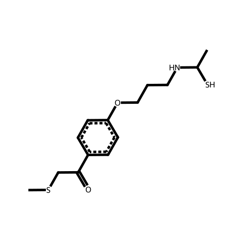 CSCC(=O)c1ccc(OCCCNC(C)S)cc1